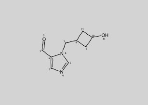 O=Cc1cncn1CC1CC(O)C1